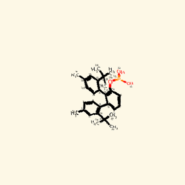 Cc1ccc(-c2cccc(OP(O)O)c2-c2ccc(C)cc2C(C)(C)C)c(C(C)(C)C)c1